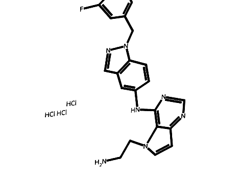 Cl.Cl.Cl.NCCn1ccc2ncnc(Nc3ccc4c(cnn4Cc4cccc(F)c4)c3)c21